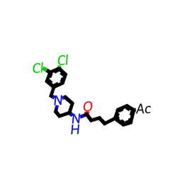 CC(=O)c1ccc(CCCC(=O)NC2CCN(Cc3ccc(Cl)c(Cl)c3)CC2)cc1